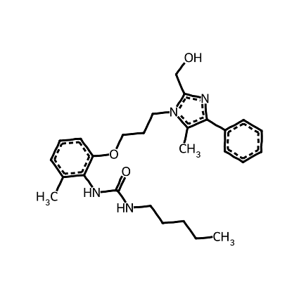 CCCCCNC(=O)Nc1c(C)cccc1OCCCn1c(CO)nc(-c2ccccc2)c1C